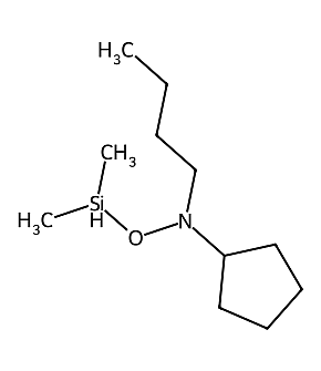 CCCCN(O[SiH](C)C)C1CCCC1